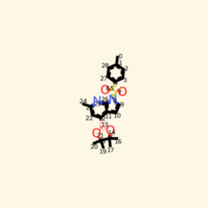 Cc1ccc(S(=O)(=O)n2ccc3c(B4OC(C)(C)C(C)(C)O4)cc(C)nc32)cc1